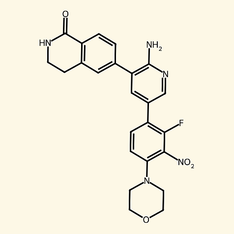 Nc1ncc(-c2ccc(N3CCOCC3)c([N+](=O)[O-])c2F)cc1-c1ccc2c(c1)CCNC2=O